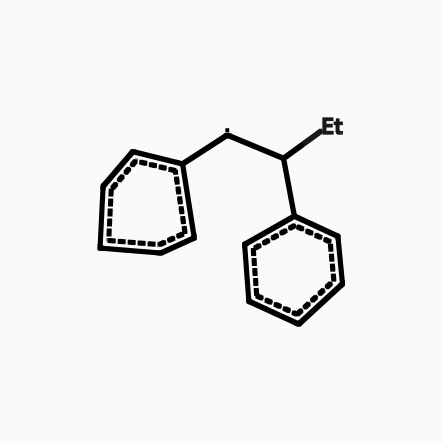 CCC([CH]c1ccccc1)c1ccccc1